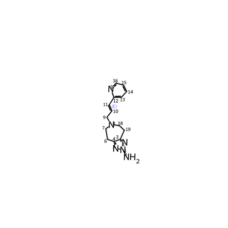 Nn1nc2c(n1)CCN(C/C=C/c1ccccn1)CC2